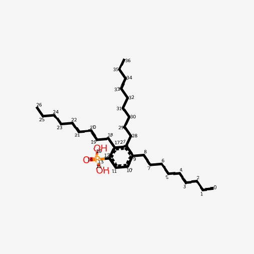 CCCCCCCCCc1ccc(P(=O)(O)O)c(CCCCCCCCC)c1CCCCCCCCC